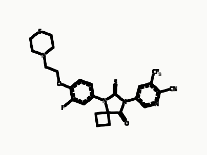 N#Cc1ncc(N2C(=O)C3(CCC3)N(c3ccc(OCCN4CCSCC4)c(F)c3)C2=S)cc1C(F)(F)F